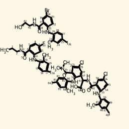 CCCNC(=O)c1ccc(F)cc1Nc1ccc(I)cc1C.Cc1cc(I)ccc1Nc1ccc(Br)cc1C(=O)NCCO.Cc1cc(I)ccc1Nc1ccc(Cl)cc1C(=O)NC(C(=O)O)c1cc(Cl)cc(C(=O)N(C)C)c1Nc1ccc(I)cc1C